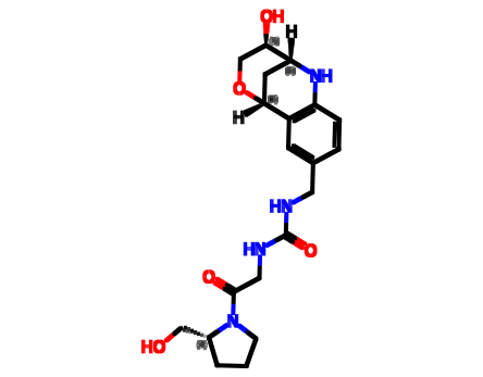 O=C(NCC(=O)N1CCC[C@@H]1CO)NCc1ccc2c(c1)[C@H]1C[C@@H](N2)[C@H](O)CO1